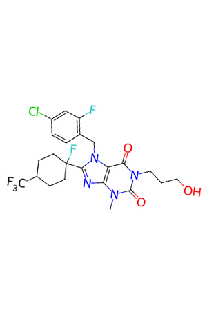 Cn1c(=O)n(CCCO)c(=O)c2c1nc(C1(F)CCC(C(F)(F)F)CC1)n2Cc1ccc(Cl)cc1F